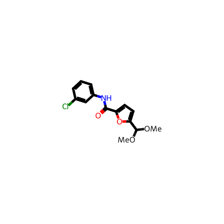 COC(OC)c1ccc(C(=O)Nc2cccc(Cl)c2)o1